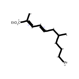 CCOC(=O)/C(C)=C/C=C/CC(C)CCCC(C)C